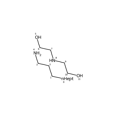 CCCCCCCCCCN.OCCNCCO